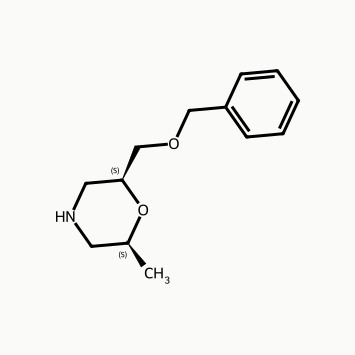 C[C@H]1CNC[C@@H](COCc2ccccc2)O1